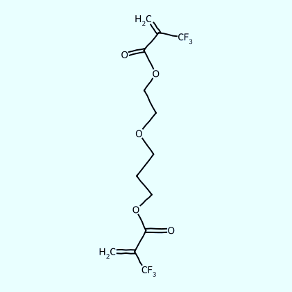 C=C(C(=O)OCCCOCCOC(=O)C(=C)C(F)(F)F)C(F)(F)F